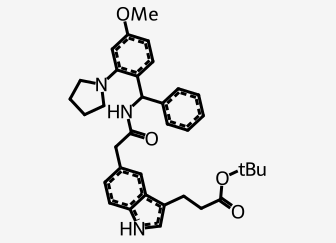 COc1ccc(C(NC(=O)Cc2ccc3[nH]cc(CCC(=O)OC(C)(C)C)c3c2)c2ccccc2)c(N2CCCC2)c1